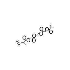 C=C.C=C.C=C.C=C(C)C(=O)OCC(=O)OCCOC(=O)COC(=O)C(=C)C